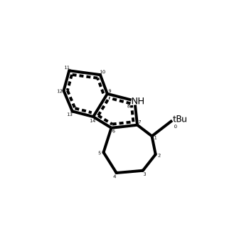 CC(C)(C)C1CCCCc2c1[nH]c1ccccc21